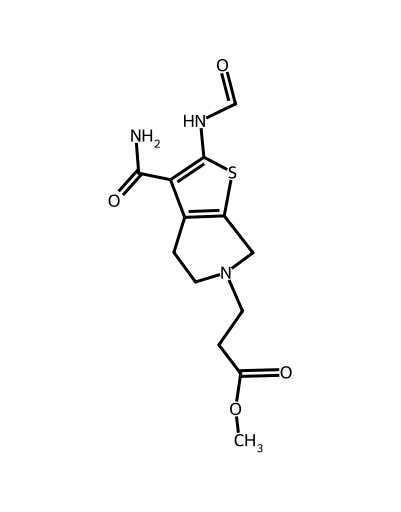 COC(=O)CCN1CCc2c(sc(NC=O)c2C(N)=O)C1